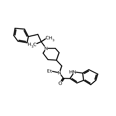 CCN(CC1CCN(C(C)(C)Cc2ccccc2)CC1)C(=O)c1cc2ccccc2[nH]1